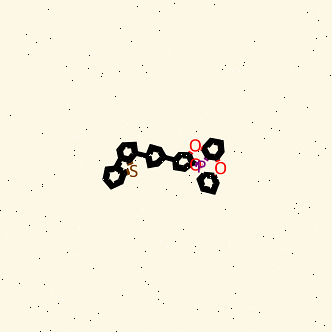 O=P12c3ccccc3Oc3cccc(c31)Oc1cc(-c3ccc(-c4cccc5c4sc4ccccc45)cc3)ccc12